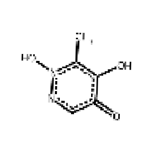 Cc1c(O)c(=O)cnn1O